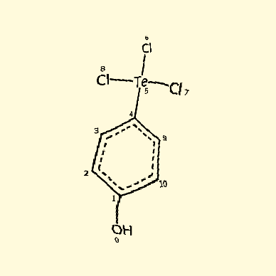 Oc1ccc([Te](Cl)(Cl)Cl)cc1